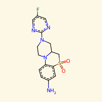 Nc1ccc2c(c1)S(=O)(=O)CC1CN(c3ncc(F)cn3)CCN21